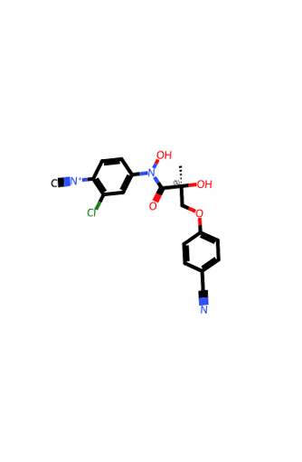 [C-]#[N+]c1ccc(N(O)C(=O)[C@@](C)(O)COc2ccc(C#N)cc2)cc1Cl